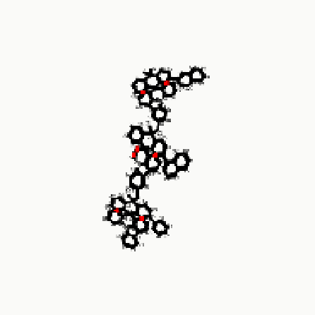 CC1(C)c2ccccc2C2(c3ccccc3-n3c4ccc(CC5(C)c6ccccc6C6(c7ccccc7-n7c8ccc(CC9(C)c%10ccccc%10C%10(c%11ccccc%11-n%11c%12ccccc%12c%12cccc%10c%12%11)c%10cc(-c%11ccccc%11)ccc%109)cc8c8cccc6c87)c6cc(-c7cccc8ccccc78)ccc65)cc4c4cccc2c43)c2cc(-c3ccc4ccccc4c3)ccc21